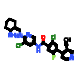 C#Cc1cnccc1-c1cc(Cl)c(C(=O)Nc2cnc(N/C=C3/CCCCC3=N)c(Cl)c2)cc1F